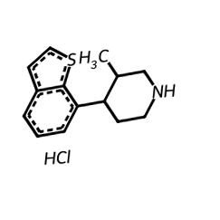 CC1CNCCC1c1cccc2ccsc12.Cl